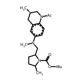 CC(=O)N1C[C@H](C)Cc2cc(N(C)CC3CCC(C)N3C(=O)OC(C)(C)C)ccc21